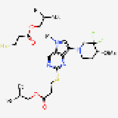 CCCCC(CC)COC(=O)CCS.CCCCC(CC)COC(=O)CCSc1ncc2c(n1)c(N1CCC(OC)C(F)(F)C1)cn2C(C)C